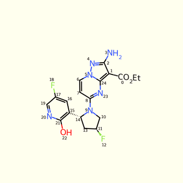 CCOC(=O)c1c(N)nn2ccc(N3C[C@@H](F)C[C@@H]3c3cc(F)cnc3O)nc12